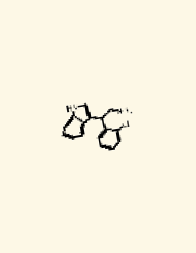 O=[N+]([O-])CC(c1ccccc1Cl)c1c[nH]c2ccccc12